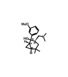 COc1cccc([C@]2(O)[C@@H](CN(C)C)CC(C)(C)[C@@H]3C[C@@H]32)c1